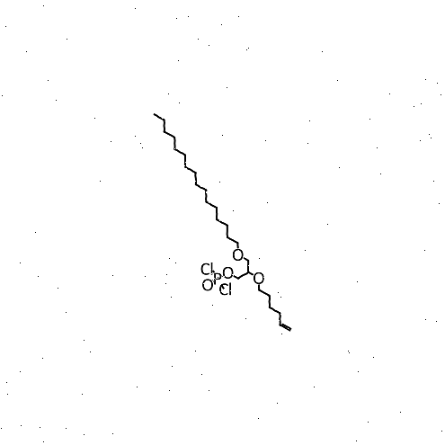 C=CCCCCOC(COCCCCCCCCCCCCCCCC)COP(=O)(Cl)Cl